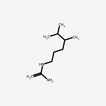 C=C(N)NCCCC(C)C(C)C